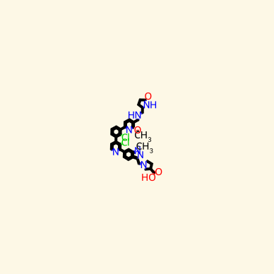 COc1nc(-c2cccc(-c3ccnc(-c4ccc5c(CN6CCC(C(=O)O)C6)nn(C)c5c4)c3Cl)c2Cl)ccc1CNCC1CCC(=O)N1